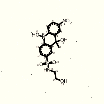 CC1(O)c2cc([N+](=O)[O-])ccc2N(O)c2ccc(S(=O)(=O)NCCO)cc21